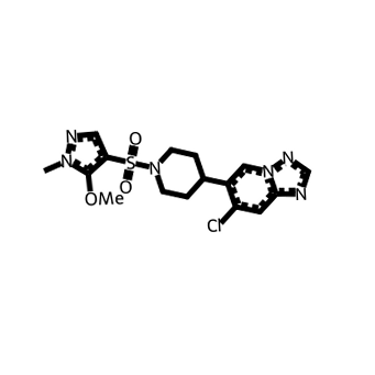 COc1c(S(=O)(=O)N2CCC(c3cn4ncnc4cc3Cl)CC2)cnn1C